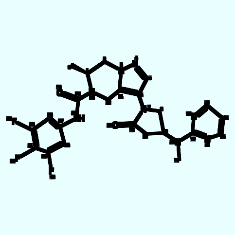 C[C@H]1Cn2ncc(N3CC(N(C)c4ncccn4)CC3=O)c2CN1C(=O)Nc1cc(F)c(F)c(F)c1